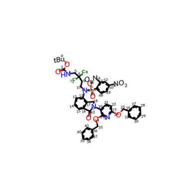 CC(C)(C)OC(=O)NCC(F)(F)CCN(c1cccc2c1CN(c1ccc(OCc3ccccc3)nc1OCc1ccccc1)C2=O)S(=O)(=O)c1ccc([N+](=O)[O-])cc1[N+](=O)[O-]